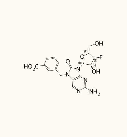 Nc1ncc2c(n1)n([C@@H]1O[C@H](CO)[C@@H](F)[C@H]1O)c(=O)n2Cc1cccc(C(=O)O)c1